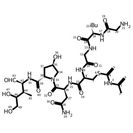 C=C(C)NC(=C)SCC(NC(=O)CNC(=O)C(NC(=O)CN)[C@@H](C)CC)C(=O)N[C@@H](CC(N)=O)C(=O)N1C[C@H](O)C[C@H]1C(=O)N[C@H](C=O)[C@@H](C)C(O)CO